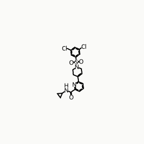 O=C(NC1CC1)c1cccc(C2=CCN(S(=O)(=O)c3cc(Cl)cc(Cl)c3)CC2)n1